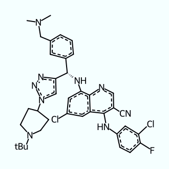 CN(C)Cc1cccc([C@H](Nc2cc(Cl)cc3c(Nc4ccc(F)c(Cl)c4)c(C#N)cnc23)c2cn(C3CCN(C(C)(C)C)CC3)nn2)c1